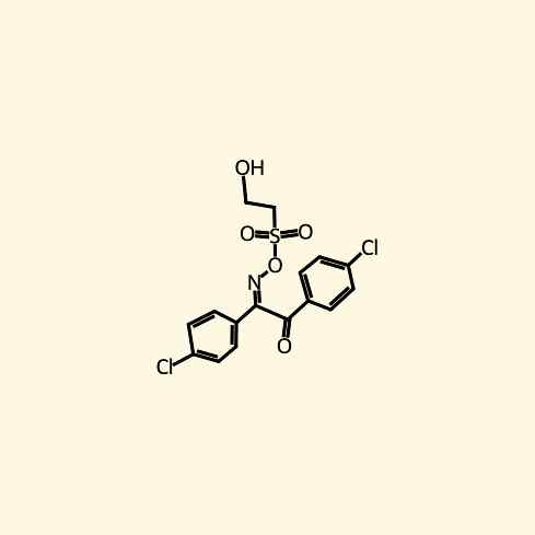 O=C(C(=NOS(=O)(=O)CCO)c1ccc(Cl)cc1)c1ccc(Cl)cc1